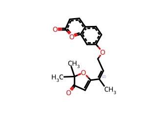 C/C(=C/COc1ccc2ccc(=O)oc2c1)C1=CC(=O)C(C)(C)O1